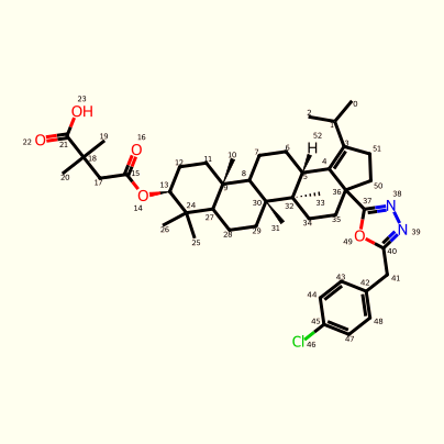 CC(C)C1=C2[C@H]3CCC4[C@@]5(C)CC[C@H](OC(=O)CC(C)(C)C(=O)O)C(C)(C)C5CC[C@@]4(C)[C@]3(C)CCC2(c2nnc(Cc3ccc(Cl)cc3)o2)CC1